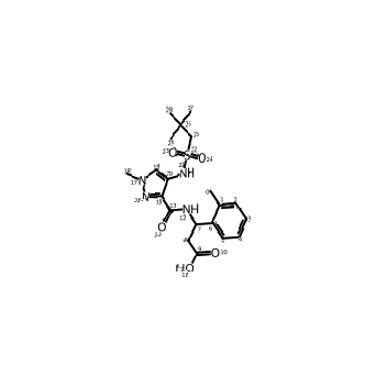 Cc1ccccc1C(CC(=O)O)NC(=O)c1nn(C)cc1NS(=O)(=O)CC(C)(C)C